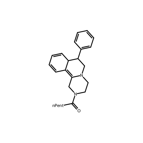 CCCCCC(=O)N1CCN2CC(c3ccccc3)C3C=CC=CC3=C2C1